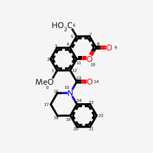 COc1ccc2c(C(=O)O)cc(=O)oc2c1C(=O)N1CCCc2ccccc21